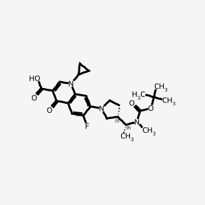 C[C@H]([C@H]1CCN(c2cc3c(cc2F)c(=O)c(C(=O)O)cn3C2CC2)C1)N(C)C(=O)OC(C)(C)C